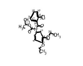 CCOc1ccc(N(C(=O)OC(C)C)C(=O)c2ccccc2Cl)cc1OCC